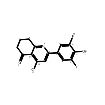 O=C1CCCc2nc(-c3cc(F)c(O)c(F)c3)cc(Cl)c21